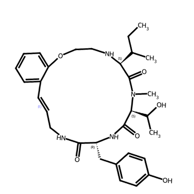 CCC(C)[C@@H]1NCCOc2ccccc2/C=C/CNC(=O)[C@@H](Cc2ccc(O)cc2)NC(=O)[C@H](C(C)O)N(C)C1=O